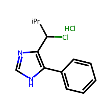 CC(C)C(Cl)c1nc[nH]c1-c1ccccc1.Cl